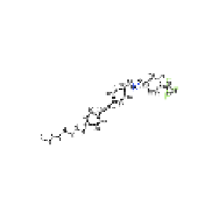 CCCCCCCCc1ccc(C#Cc2ccc(C[N]Cc3ccc(C(F)(F)F)cc3)cc2)cc1